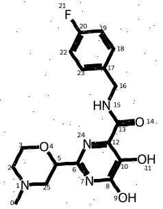 CN1CCOC(c2nc(O)c(O)c(C(=O)NCc3ccc(F)cc3)n2)C1